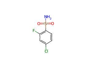 NS(=O)(=O)c1ccc(Cl)cc1F